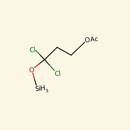 CC(=O)OCCC(Cl)(Cl)O[SiH3]